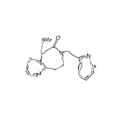 CNC1C(=O)N(Cc2cccnn2)CCc2ncsc21